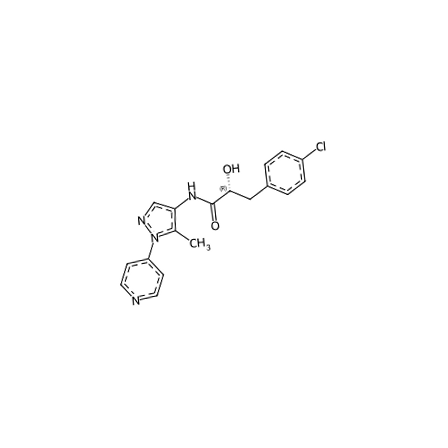 Cc1c(NC(=O)[C@H](O)Cc2ccc(Cl)cc2)cnn1-c1ccncc1